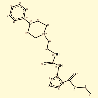 CCOC(=O)c1ccsc1NC(=O)NCCN1CCN(c2ccccc2)CC1